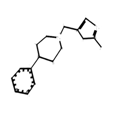 CC1=NC=C(CN2CCC(c3ccccc3)CC2)C1